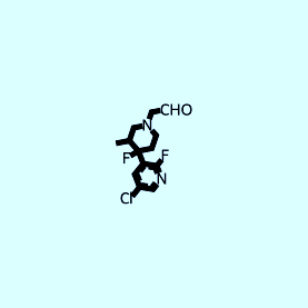 CC1CN(CC=O)CCC1(F)c1cc(Cl)cnc1F